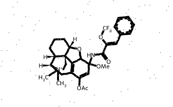 COC1(NC(=O)C(=Cc2ccccc2)OC(F)(F)F)C=C(OC(C)=O)C2=C3C1O[C@H]1CCC[C@H]4[C@@H](C2)[N+](C)(C)CC[C@]314